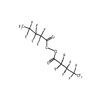 O=C(OOC(=O)C(F)(F)C(F)(F)C(F)(F)C(F)(F)F)C(F)(F)C(F)(F)C(F)(F)C(F)(F)F